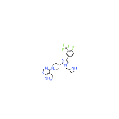 CCc1c(N)ncnc1N1CCC(c2nc(-c3ccc(F)c(C(F)(F)F)c3)cn2C[C@@H]2CCN2)CC1